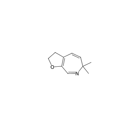 CC1(C)C=CC2=C(C=N1)OCC2